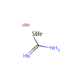 Br.CSC(=N)N